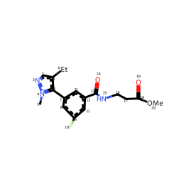 CCc1cnn(C)c1-c1cc(F)cc(C(=O)NCCC(=O)OC)c1